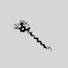 CCCCCCCCSCCOC(=O)c1ccc(O)c(C(C)(C)C)c1